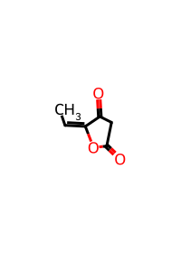 CC=C1OC(=O)CC1=O